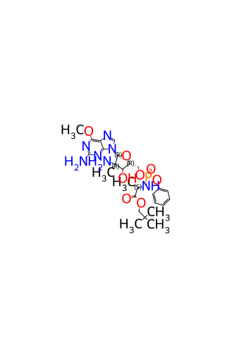 COc1nc(N)nc2c1ncn2[C@@H]1O[C@H](COP(=O)(N[C@@H](C)C(=O)OCC(C)(C)C)Oc2ccccc2)C(O)[C@@]1(C)N